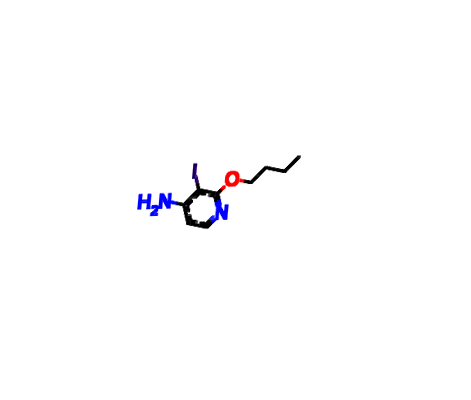 CCCCOc1nccc(N)c1I